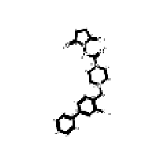 O=C(ON1C(=O)CCC1=O)N1CCN(Cc2ccc(-c3ccccc3)cc2F)CC1